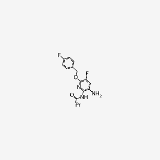 CC(C)C(=O)Nc1nc(OCc2ccc(F)cc2)c(F)cc1N